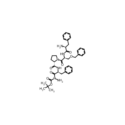 CC(C)(C)OC(=O)N(N)C(=O)[C@H](Cc1ccccc1)NC(=O)[C@@H]1CCCN1C(=O)[C@H](COCc1ccccc1)NC(=O)[C@@H](N)Cc1ccccc1